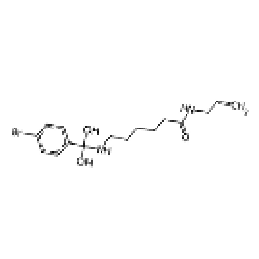 C=CCNC(=O)CCCCCNC(O)(O)c1ccc(Br)cc1